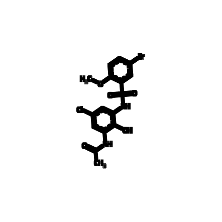 COc1ccc(Br)cc1S(=O)(=O)Nc1cc(Cl)cc(NC(C)=O)c1O